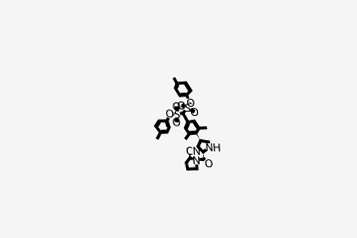 Cc1ccc(OS(=O)(=O)C(c2cc(C)c([C@@H]3CN[C@H](C(=O)N4CCC[C@H]4C#N)C3)c(C)c2)S(=O)(=O)Oc2ccc(C)cc2)cc1